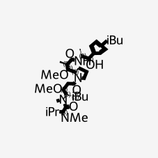 CCC(C)c1ccc([C@H](O)[C@@H](C)NC(=O)[C@H](C)[C@@H](OC)[C@@H]2CCCN2C(=O)C[C@@H](OC)[C@H]([C@@H](C)CC)N(C)C(=O)[C@@H](NC)C(C)C)cc1